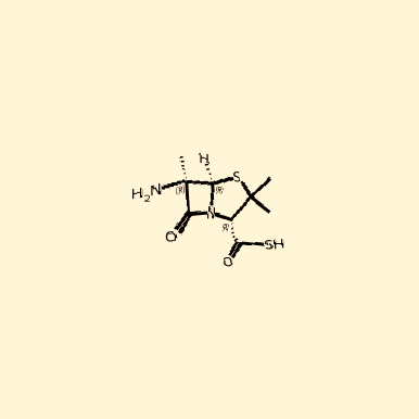 CC1(C)S[C@H]2N(C(=O)[C@@]2(C)N)[C@H]1C(=O)S